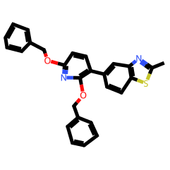 Cc1nc2cc(-c3ccc(OCc4ccccc4)nc3OCc3ccccc3)ccc2s1